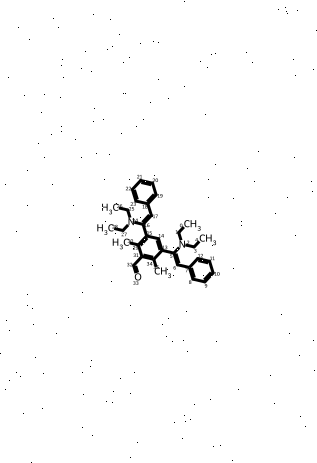 CCN(CC)C(=Cc1ccccc1)c1cc(C(=Cc2ccccc2)N(CC)CC)c(C)c(C=O)c1C